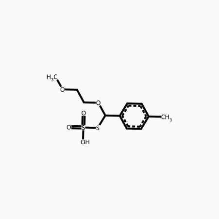 COCCOC(SS(=O)(=O)O)c1ccc(C)cc1